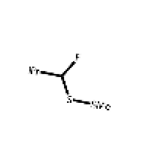 CSSC(F)C(C)C